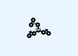 CC1(C)c2ccccc2-c2ccc(-c3cc(-c4ccc5c(c4)C(C)(C)c4ccccc4-5)nc(-c4cccc(-n5c6ccccc6c6ccccc65)c4)n3)cc21